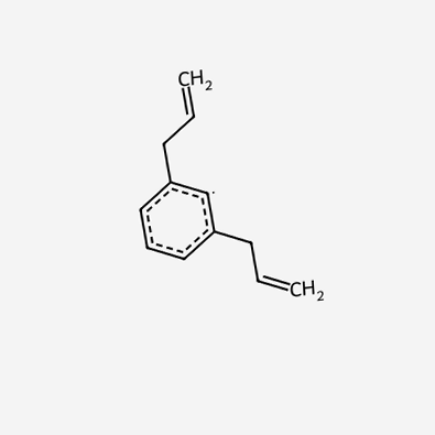 C=CCc1[c]c(CC=C)ccc1